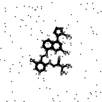 Cc1cc(-c2ccnn2C)c2cccc(OCc3c(Cl)cncc3OCC(=O)N(C)C)c2n1